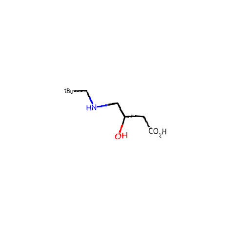 CC(C)(C)CNCC(O)CC(=O)O